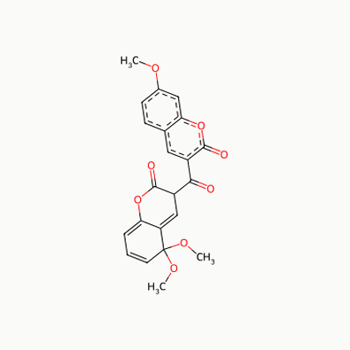 COc1ccc2cc(C(=O)C3C=C4C(=CC=CC4(OC)OC)OC3=O)c(=O)oc2c1